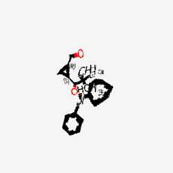 CC(C)(C)C(O[SiH](c1ccccc1)c1ccccc1)[C@H]1C[C@H]1C=O